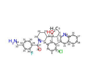 [CH2]CCC(O)(c1cccc(Cl)c1-c1cnc2ccccc2c1)C1CCCN(C(=O)c2ccc(CN)cc2F)C1